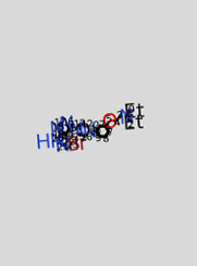 CCN(CC)CCOc1cccc(N2CCN(c3ncnc4[nH]nc(Br)c34)CC2)c1